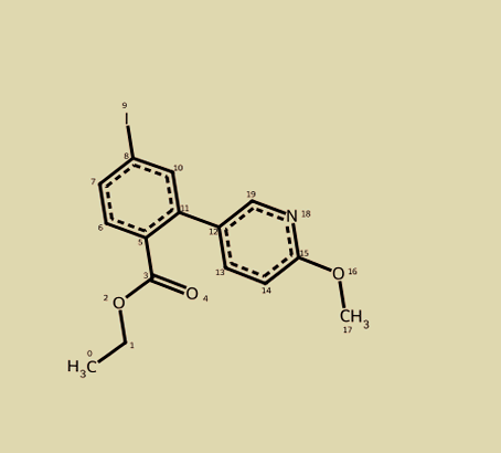 CCOC(=O)c1ccc(I)cc1-c1ccc(OC)nc1